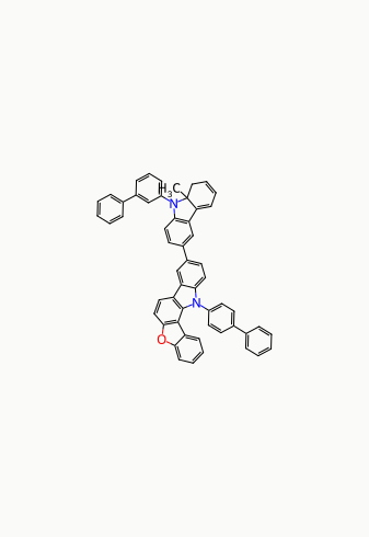 CC12CC=CC=C1c1cc(-c3ccc4c(c3)c3ccc5oc6ccccc6c5c3n4-c3ccc(-c4ccccc4)cc3)ccc1N2c1cccc(-c2ccccc2)c1